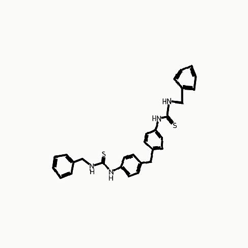 S=C(NCc1ccccc1)Nc1ccc(Cc2ccc(NC(=S)NCc3ccccc3)cc2)cc1